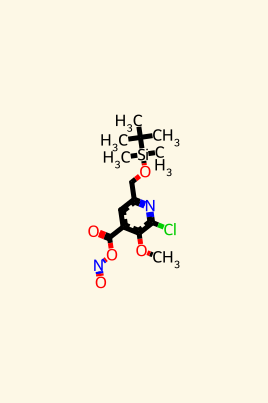 COc1c(C(=O)ON=O)cc(CO[Si](C)(C)C(C)(C)C)nc1Cl